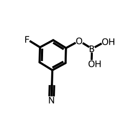 N#Cc1cc(F)cc(OB(O)O)c1